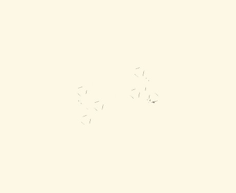 COc1cc(OCC(C)(C)COc2ccc(C(=C=Nc3ccc(C)cc3)c3ccccc3)cc2)ccc1C(=C=Nc1ccccc1)c1ccccc1